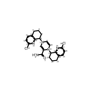 NC(=O)C1=CN(C2CCCc3ccc(Cl)nc32)C=CN1C1CCCc2ccc(Cl)nc21